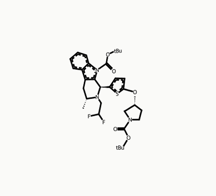 C[C@@H]1Cc2c(n(C(=O)OC(C)(C)C)c3ccccc23)[C@@H](c2ccc(O[C@@H]3CCN(C(=O)OC(C)(C)C)C3)s2)N1CC(F)F